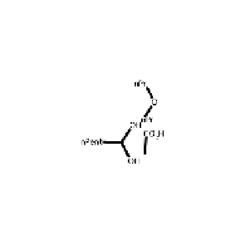 CC(=O)O.CCCCCC(O)O.CCCOCCC